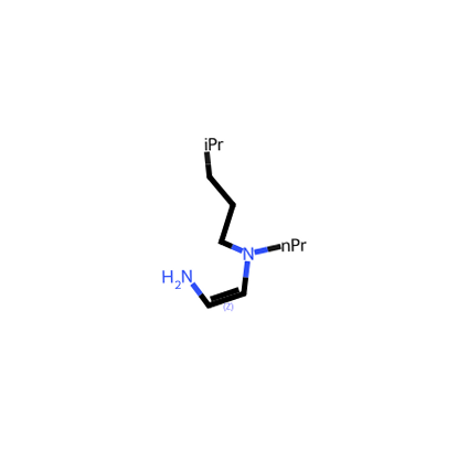 CCCN(/C=C\N)CCCC(C)C